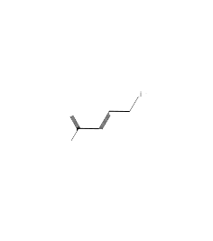 CC(C)CC=CC([O])=O